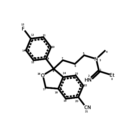 CCC(=N)N(C)CCCC1(c2ccc(F)cc2)OCc2cc(C#N)ccc21